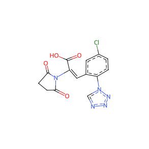 O=C(O)C(=Cc1cc(Cl)ccc1-n1cnnn1)N1C(=O)CCC1=O